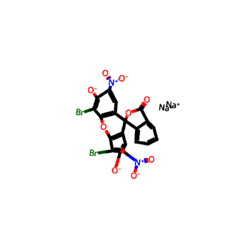 O=C1OC2(c3ccccc31)c1cc([N+](=O)[O-])c([O-])c(Br)c1Oc1c2cc([N+](=O)[O-])c([O-])c1Br.[Na+].[Na+]